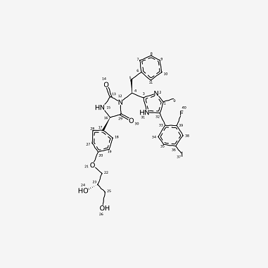 Cc1nc([C@H](Cc2ccccc2)N2C(=O)N[C@H](c3ccc(OC[C@@H](O)CO)cc3)C2=O)[nH]c1-c1ccc(I)cc1F